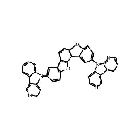 c1cnc2c(c1)c1cnccc1n2-c1ccc2oc3c(ccc4oc5ccc(-n6c7ccncc7c7cccnc76)cc5c43)c2c1